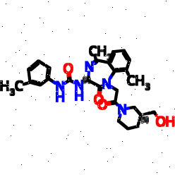 CC1=N[C@@H](NC(=O)Nc2cccc(C)c2)C(=O)N(CC(=O)N2CCC[C@H](CO)C2)c2c(C)cccc21